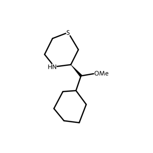 COC(C1CCCCC1)[C@@H]1CSCCN1